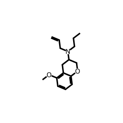 C=CCN(CCC)C1COc2cccc(OC)c2C1